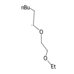 CCCCC[CH]OCCOCC